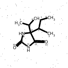 CCC(C)C1(C(C)C)NC(=O)NC1=O